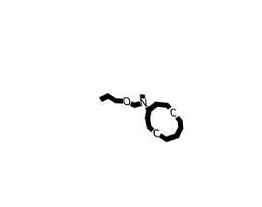 CCCOCN(C)C1CCCCCCCCCC1